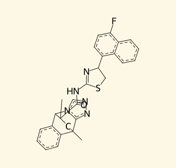 CC12CC(C)(C(=O)NC3=NC(c4ccc(F)c5ccccc45)CS3)C(c3ccccc31)n1cnnc12